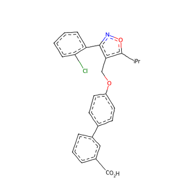 CC(C)c1onc(-c2ccccc2Cl)c1COc1ccc(-c2cccc(C(=O)O)c2)cc1